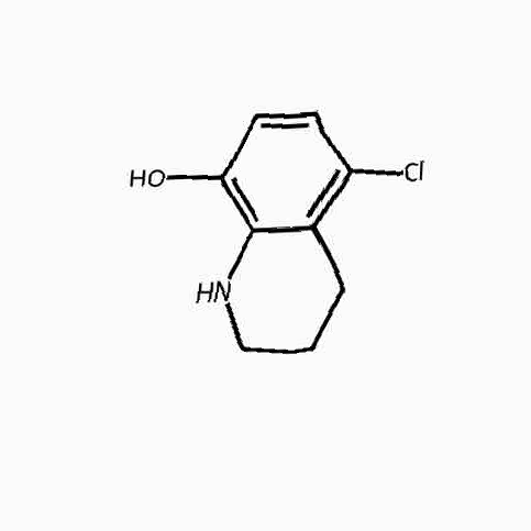 Oc1ccc(Cl)c2c1NCCC2